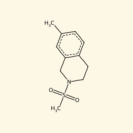 Cc1ccc2c(c1)CN(S(C)(=O)=O)CC2